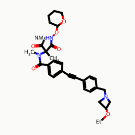 CCOC1CN(Cc2ccc(C#Cc3ccc(C(=O)N(C)C(C)(C(=O)NC)C(=O)NOC4CCCCO4)cc3)cc2)C1